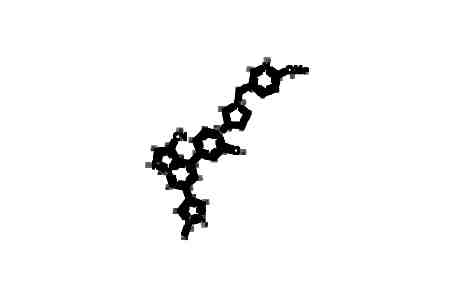 COc1ccc(CN2CCC(n3ccc(-c4cc(-c5cnn(C)c5)cn5ncc(C#N)c45)cc3=O)C2)cn1